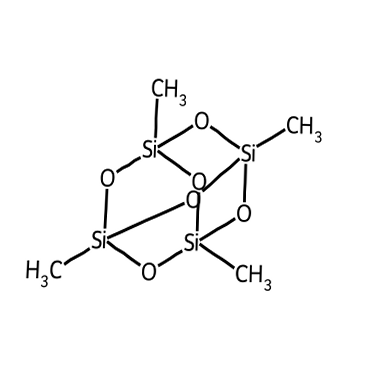 C[Si]12O[Si]3(C)O[Si](C)(O1)O[Si](C)(O2)O3